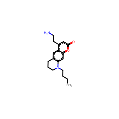 BCCCN1CCCc2cc3c(CCN)cc(=O)oc3cc21